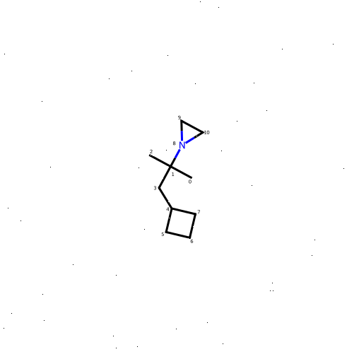 CC(C)(CC1CCC1)N1CC1